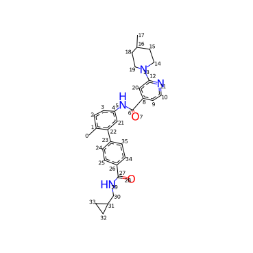 Cc1ccc(NC(=O)c2ccnc(N3CCC(C)CC3)c2)cc1-c1ccc(C(=O)NCC2CC2)cc1